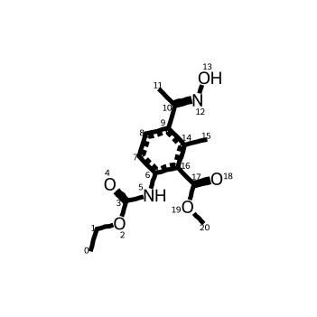 CCOC(=O)Nc1ccc(C(C)=NO)c(C)c1C(=O)OC